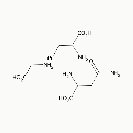 CC(C)CC(N)C(=O)O.NC(=O)CC(N)C(=O)O.NCC(=O)O